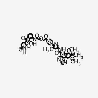 COc1cc(-c2c(NC(=O)Nc3cnc(N4CCN(C(=O)COCC(=O)Nc5cccc6c5C(=O)N(C5CCC(=O)NC5=O)C6=O)CC4)c(C)c3)cnc3ccnn23)cc(OC)c1OC